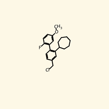 COc1ccc(F)c(-c2ccc(CCl)cc2C2CCCCCC2)c1